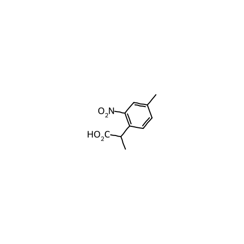 Cc1ccc(C(C)C(=O)O)c([N+](=O)[O-])c1